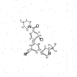 CC1CCN(C(=O)c2ccc(-c3cc(C#N)cc(-c4ccnc(C(C)(C)C)c4)c3)c(Cl)c2)CC1